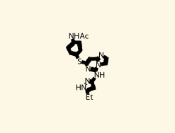 CCc1cc(Nc2nc(Sc3ccc(NC(C)=O)cc3)cc3nccn23)n[nH]1